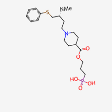 CN[C@H](CCN1CCC(C(=O)OCCCP(=O)(O)O)CC1)CSc1ccccc1